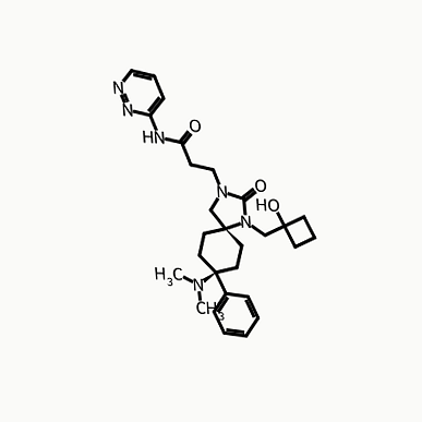 CN(C)[C@]1(c2ccccc2)CC[C@@]2(CC1)CN(CCC(=O)Nc1cccnn1)C(=O)N2CC1(O)CCC1